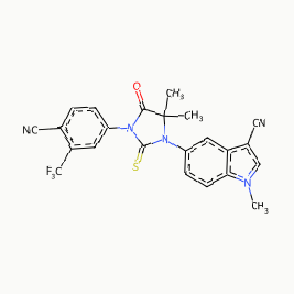 Cn1cc(C#N)c2cc(N3C(=S)N(c4ccc(C#N)c(C(F)(F)F)c4)C(=O)C3(C)C)ccc21